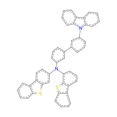 c1cc(-c2cccc(-n3c4ccccc4c4ccccc43)c2)cc(N(c2ccc3c(c2)sc2ccccc23)c2cccc3c2sc2ccccc23)c1